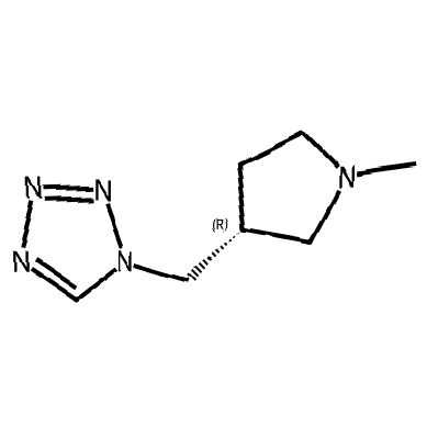 CN1CC[C@@H](Cn2cnnn2)C1